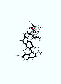 Cc1nc2c(F)c(-c3cccc4ccc(F)cc34)c(CCC#N)cc2c2c1cc(CN1CCN(C)CC1=O)n2[C@H]1[C@H]2CN[C@@H]1C2